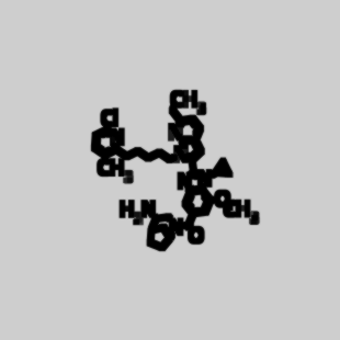 CCc1ccc2cc(-c3nc4cc(C(=O)N5CC(N)C6CCC5C6)cc(OC)c4n3C3CC3)n(CCCCCc3nc(Cl)ccc3C)c2n1